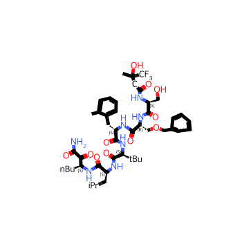 CCCC[C@H](NC(=O)[C@H](CC(C)C)NC(=O)[C@@H](NC(=O)[C@H](Cc1ccccc1C)NC(=O)[C@@H](COCc1ccccc1)NC(=O)[C@H](CO)NC(=O)CC(C)(O)C(F)(F)F)C(C)(C)C)C(=O)C(N)=O